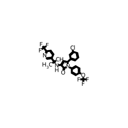 CC(C)(NC1=CC(c2cccc(Cl)c2)N(c2ccc(OC(F)(F)F)cc2)C1=O)c1ccc(C(F)(F)F)nc1